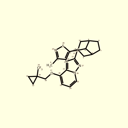 Cc1cc(N2CC3CCC(C2)C3Nc2nc3c(OCC4(C(F)(F)F)CC4)cccn3n2)sn1